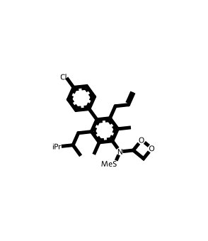 C=CCc1c(C)c(N(SC)C2COO2)c(C)c(CC(C)C(C)C)c1-c1ccc(Cl)cc1